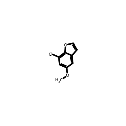 COc1cc(Cl)c2o[c]cc2c1